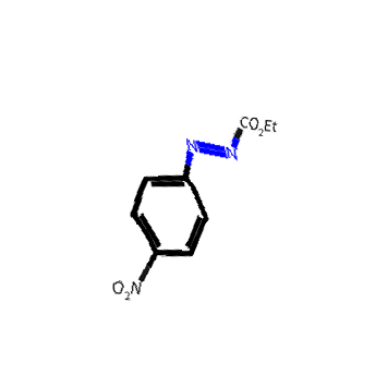 CCOC(=O)/N=N/c1ccc([N+](=O)[O-])cc1